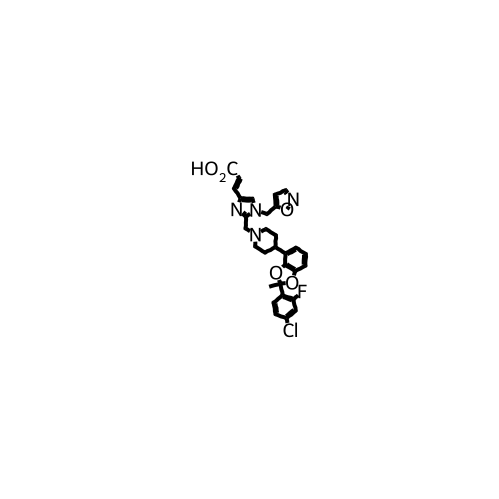 CC1(c2ccc(Cl)cc2F)Oc2cccc(C3CCN(Cc4nc(/C=C/C(=O)O)cn4Cc4ccno4)CC3)c2O1